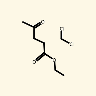 CCOC(=O)CCC(C)=O.ClCCl